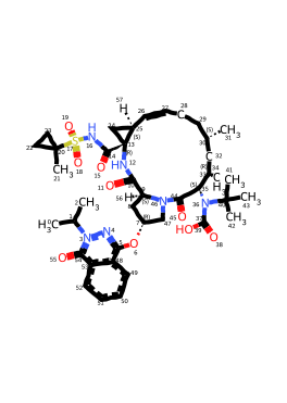 CC(C)n1nc(O[C@@H]2C[C@H]3C(=O)N[C@]4(C(=O)NS(=O)(=O)C5(C)CC5)C[C@H]4C=CCC[C@H](C)C[C@@H](C)[C@H](N(C(=O)O)C(C)(C)C)C(=O)N3C2)c2ccccc2c1=O